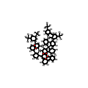 CC(C)(C)c1cc(-c2ccc3c(c2)B2c4ccc(-n5c6ccc(C(C)(C)C)cc6c6cc(C(C)(C)C)ccc65)cc4C(c4ccccc4)(c4ccccc4)c4cc(-n5c6ccccc6c6ccccc65)cc(c42)N3c2c(-c3ccccc3)cccc2-c2ccccc2)cc(C(C)(C)C)c1